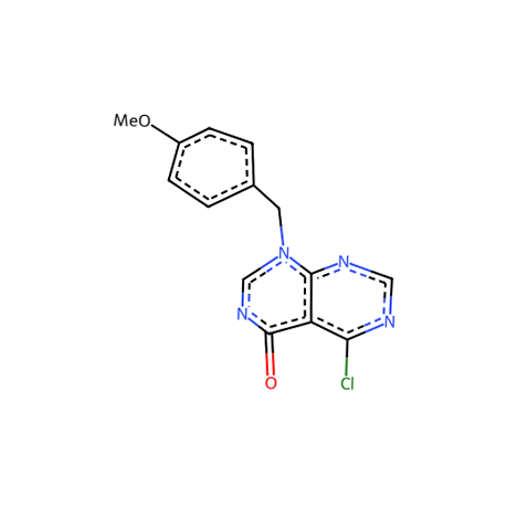 COc1ccc(Cn2cnc(=O)c3c(Cl)ncnc32)cc1